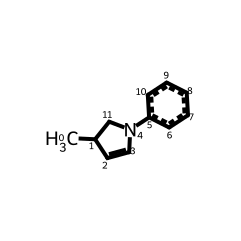 CC1C=CN(c2ccccc2)C1